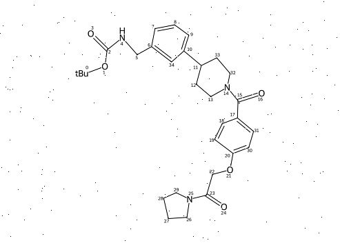 CC(C)(C)OC(=O)NCc1cccc(C2CCN(C(=O)c3ccc(OCC(=O)N4CCCC4)cc3)CC2)c1